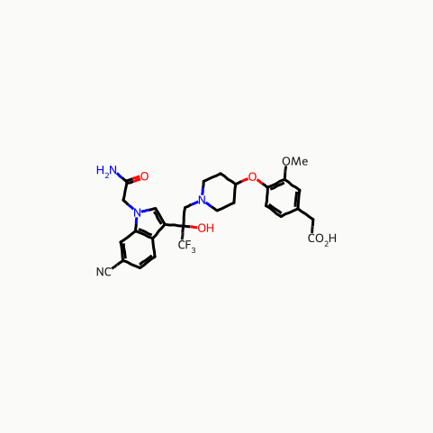 COc1cc(CC(=O)O)ccc1OC1CCN(CC(O)(c2cn(CC(N)=O)c3cc(C#N)ccc23)C(F)(F)F)CC1